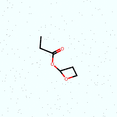 CCC(=O)OC1CCO1